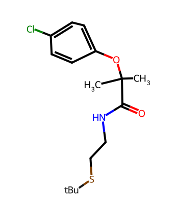 CC(C)(C)SCCNC(=O)C(C)(C)Oc1ccc(Cl)cc1